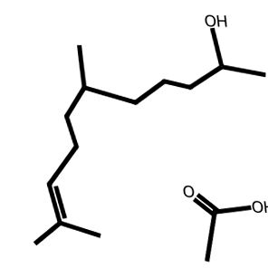 CC(=O)O.CC(C)=CCCC(C)CCCC(C)O